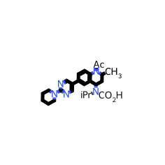 CC(=O)N1c2ccc(-c3cnc(N4CCCCC4)nc3)cc2C(N(C(=O)O)C(C)C)CC1C